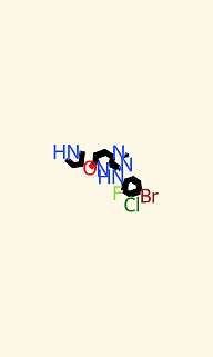 Fc1c(Nc2ncnc3ccc(O[C@H]4CCNC4)nc23)ccc(Br)c1Cl